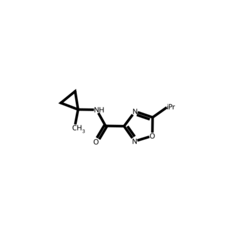 CC(C)c1nc(C(=O)NC2(C)CC2)no1